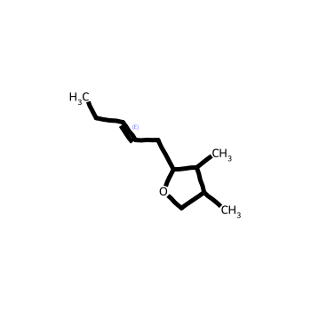 CC/C=C/CC1OCC(C)C1C